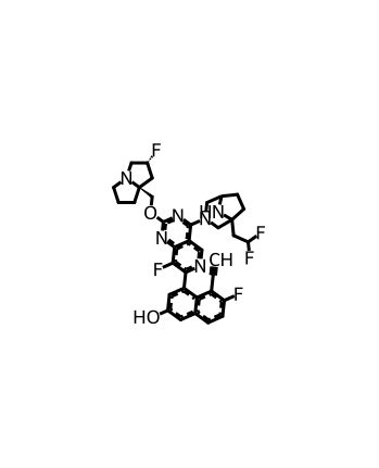 C#Cc1c(F)ccc2cc(O)cc(-c3ncc4c(N5CC6CCC(CC(F)F)(C5)N6)nc(OC[C@@]56CCCN5C[C@H](F)C6)nc4c3F)c12